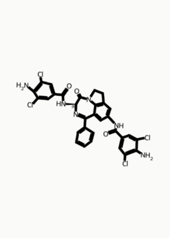 Nc1c(Cl)cc(C(=O)Nc2cc3c4c(c2)C(c2ccccc2)=N[C@@H](NC(=O)c2cc(Cl)c(N)c(Cl)c2)C(=O)N4CC3)cc1Cl